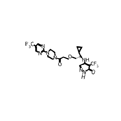 O=C(CCOC[C@@H](Nc1cn[nH]c(=O)c1C(F)(F)F)C1CC1)N1CCN(c2ncc(C(F)(F)F)cn2)CC1